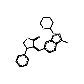 O=C1NCC(c2ccccc2)C1=Cc1ccc2c(I)nn(C3CCCCO3)c2c1